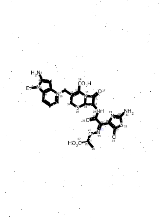 CCn1c(N)cc2c1ccc[n+]2CC1=C(C(=O)O)N2C(=O)C(NC(=O)/C(=N\O[C@@H](C)C(=O)O)c3nc(N)sc3Cl)C2SC1